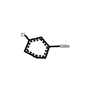 CSc1cccc(Cl)c1